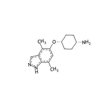 Cc1c(O[C@H]2CC[C@@H](N)CC2)cc(C)c2[nH]ncc12